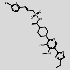 CCc1cnc(-c2cnc(N3CCC(C(=O)NS(=O)(=O)CC=Cc4ccc(Cl)s4)CC3)c(Cl)c2NC)o1